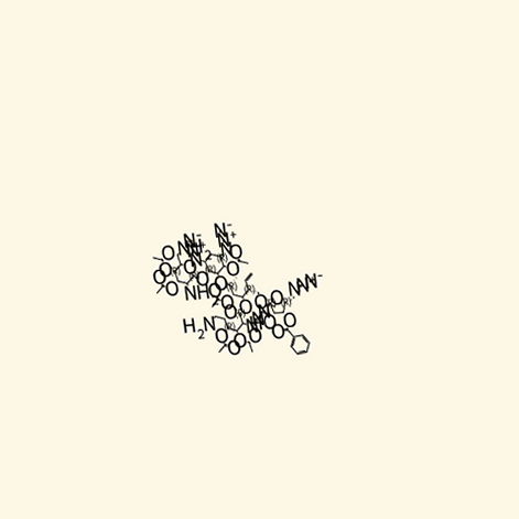 C=C[C@H](CO[C@@H]1O[C@H](CN=[N+]=[N-])C(OC(=O)c2ccccc2)C1O)C(O[C@H]1OC(CN)[C@@H](OC(C)=O)C(OC(C)=O)C1N=[N+]=[N-])C(OC(C)=O)[C@@H](C)OC1C(OC(C)=O)[C@H](N=[N+]=[N-])CC(N=[N+]=[N-])[C@H]1O[C@H]1OC(CN)[C@@H](OC(C)=O)C(OC(C)=O)C1N